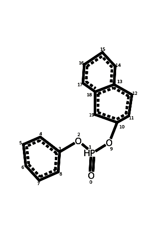 O=[PH](Oc1ccccc1)Oc1ccc2ccccc2c1